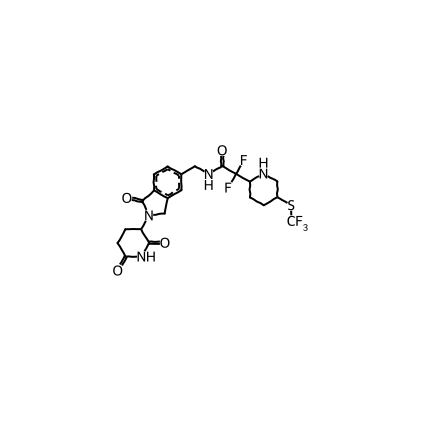 O=C1CCC(N2Cc3cc(CNC(=O)C(F)(F)C4CCC(SC(F)(F)F)CN4)ccc3C2=O)C(=O)N1